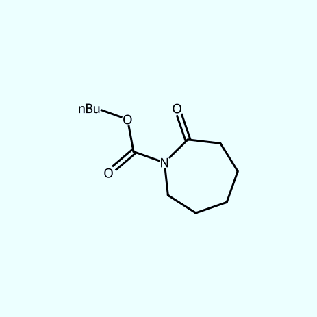 CCCCOC(=O)N1CCCCCC1=O